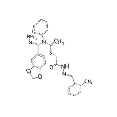 C=C(SCC(=O)N/N=C/c1ccccc1C#N)N(/C(=N\N)c1ccc2c(c1)OCO2)c1ccccc1